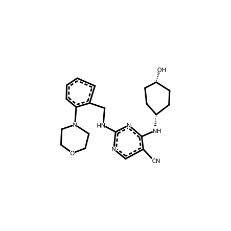 N#Cc1cnc(NCc2ccccc2N2CCOCC2)nc1N[C@H]1CC[C@@H](O)CC1